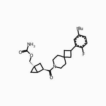 CC(C)(C)c1ccc(F)c(C2CC3(CCN(C(=O)[C@@H]4C[C@]5(COC(N)=O)CC45)CC3)C2)c1